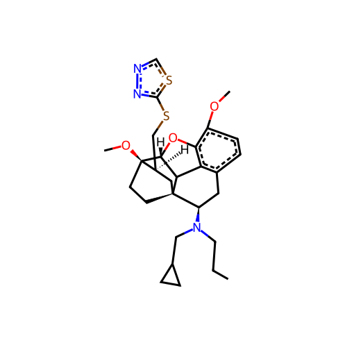 CCCN(CC1CC1)[C@@H]1Cc2ccc(OC)c3c2C2[C@@H](O3)[C@@]3(OC)CC[C@@]21C[C@@H]3CSc1nncs1